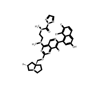 CCc1c(F)ccc2cc(O)cc(-c3ncc4c(N(C)CCN(C)C(=O)n5nccn5)nc(OC[C@@]56CCCN5C[C@H](F)C6)nc4c3F)c12